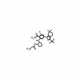 CC1(C)CCc2c(C(F)(F)F)nn(-c3cc(F)c(C(N)=O)c(NC4CCCC4OC(=O)CN)c3)c2C1